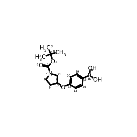 CC(C)(C)OC(=O)N1CCC(Oc2ccc(B(O)O)cc2)C1